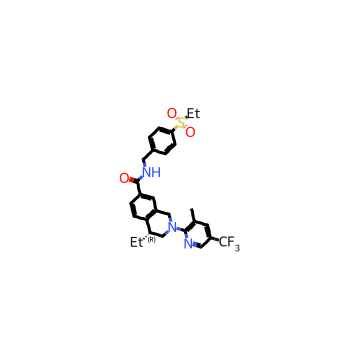 CC[C@H]1CN(c2ncc(C(F)(F)F)cc2C)Cc2cc(C(=O)NCc3ccc(S(=O)(=O)CC)cc3)ccc21